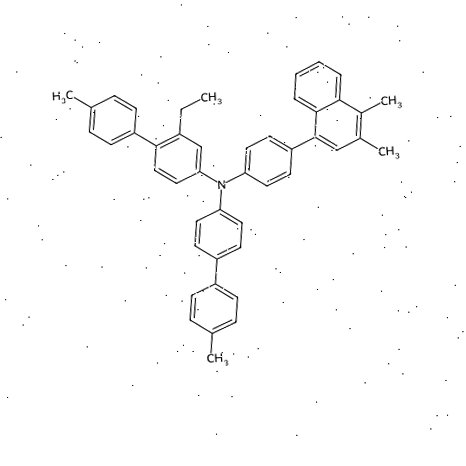 CCc1cc(N(c2ccc(-c3ccc(C)cc3)cc2)c2ccc(-c3cc(C)c(C)c4ccccc34)cc2)ccc1-c1ccc(C)cc1